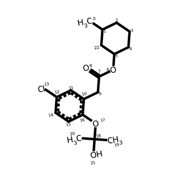 CC1CCCC(OC(=O)Cc2cc(Cl)ccc2OC(C)(C)O)C1